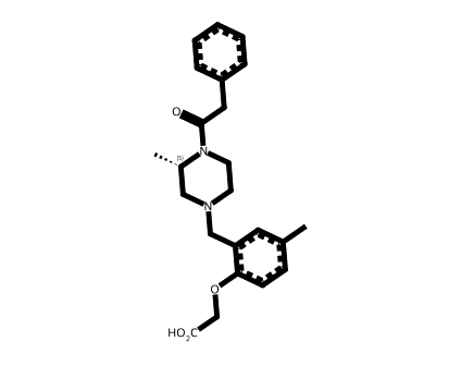 Cc1ccc(OCC(=O)O)c(CN2CCN(C(=O)Cc3ccccc3)[C@@H](C)C2)c1